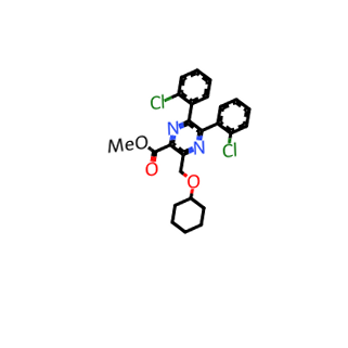 COC(=O)c1nc(-c2ccccc2Cl)c(-c2ccccc2Cl)nc1COC1CCCCC1